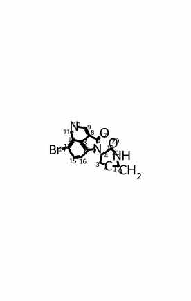 C=C1CCC(N2C(=O)c3cncc4c(Br)ccc2c34)C(=O)N1